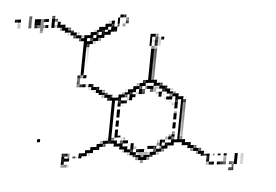 CCCCCCCC(=O)Oc1c(Br)cc(C(=O)O)cc1Br